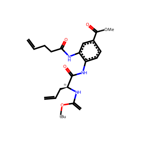 C=CCCC(=O)Nc1cc(C(=O)OC)ccc1NC(=O)[C@H](CC=C)NC(=C)OC(C)(C)C